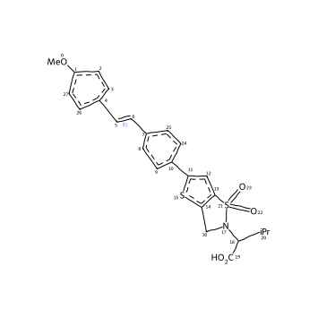 COc1ccc(/C=C/c2ccc(-c3cc4c(s3)CN(C(C(=O)O)C(C)C)S4(=O)=O)cc2)cc1